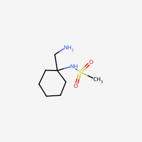 CS(=O)(=O)NC1(CN)CCCCC1